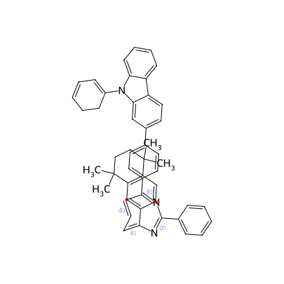 CC1(C)CCC(C)(C)c2cc(C3=C\C=C\C(c4ccc(-c5ccc6c7ccccc7n(C7=CC=CCC7)c6c5)cc4)=N/C(c4ccccc4)=N\3)ccc21